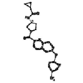 O=C(N[C@@H]1CCN(C(=O)c2ccc3cc(Oc4ccc(C(F)(F)F)cn4)ccc3n2)C1)C1CC1